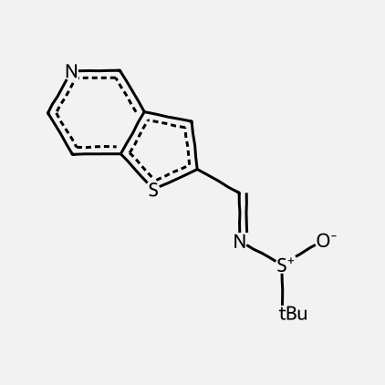 CC(C)(C)[S+]([O-])/N=C/c1cc2cnccc2s1